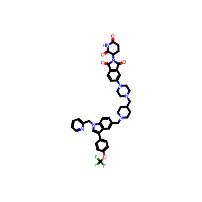 O=C1CCC(N2C(=O)c3ccc(N4CCN(CC5CCN(Cc6ccc7c(c6)c(-c6ccc(OC(F)(F)F)cc6)cn7Cc6ccccn6)CC5)CC4)cc3C2=O)C(=O)N1